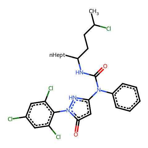 CCCCCCCC(CCC(C)Cl)NC(=O)N(c1ccccc1)c1cc(=O)n(-c2c(Cl)cc(Cl)cc2Cl)[nH]1